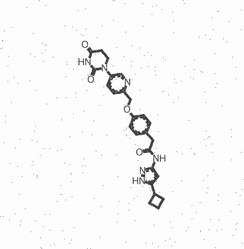 O=C1CCN(c2ccc(COc3ccc(CC(=O)Nc4cc(C5CCC5)[nH]n4)cc3)nc2)C(=O)N1